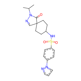 CC(C)N1N=CC2(CCC(NS(=O)(=O)c3ccc(-n4cccn4)cc3)CC2)C1=O